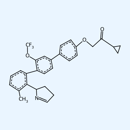 Cc1cccc(-c2ccc(-c3ccc(OCC(=O)C4CC4)cc3)cc2OC(F)(F)F)c1C1CCC=N1